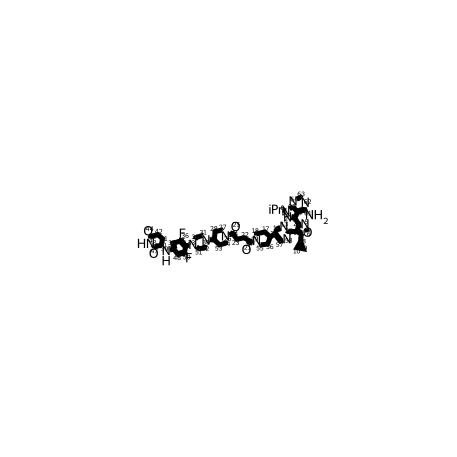 CC(C)n1nc(-c2noc(C3CC3)c2-c2ncc(C3CCN(C(=O)CCC(=O)N4CCC(N5CCN(c6c(F)cc(NC7CCC(=O)NC7=O)cc6F)CC5)CC4)CC3)cn2)c2c(N)ncnc21